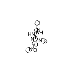 O=C(c1cc2nc(Nc3cc(-c4ccccc4)n[nH]3)nc(N3CCOCC3)c2o1)N1CCCCC1